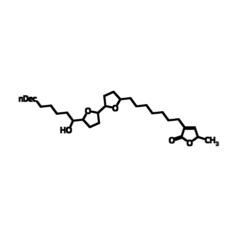 CCCCCCCCCCCCCCC(O)C1CCC(C2CCC(CCCCCCCC3=CC(C)OC3=O)O2)O1